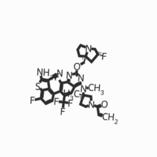 C=CC(=O)N1CC[C@@](C)(N(C)c2nc(OC[C@@]34CCCN3C[C@H](F)C4)nc3c(F)c(-c4ccc(F)c5sc(N)c(C#N)c45)c(C(F)(F)F)cc23)C1